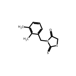 Cc1cccc(CN2C(=O)CSC2=S)c1C